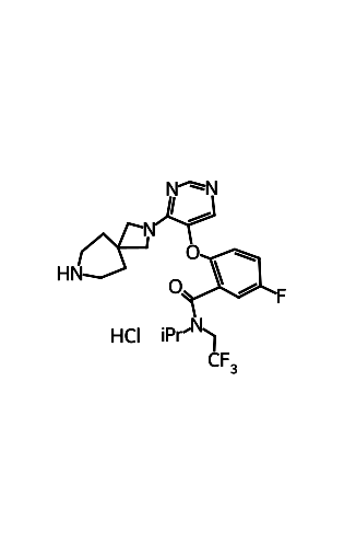 CC(C)N(CC(F)(F)F)C(=O)c1cc(F)ccc1Oc1cncnc1N1CC2(CCNCC2)C1.Cl